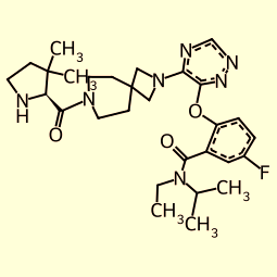 CCN(C(=O)c1cc(F)ccc1Oc1nncnc1N1CC2(CCN(C(=O)[C@H]3NCCC3(C)C)CC2)C1)C(C)C